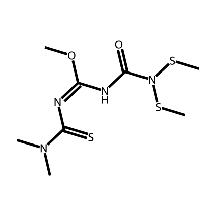 COC(=NC(=S)N(C)C)NC(=O)N(SC)SC